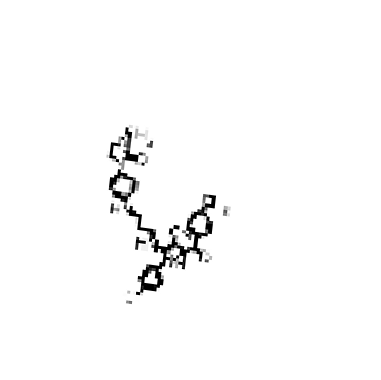 Cc1ccc(C(=O)c2nn(-c3ccc(Cl)cc3)c(NCCCNc3ccc(N4CCN(C)C4=O)cc3)c2C#N)cc1